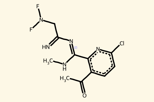 CN/C(=N\C(=N)CN(F)F)c1nc(Cl)ccc1C(C)=O